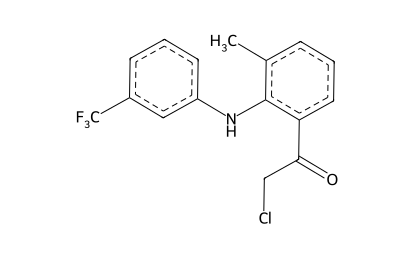 Cc1cccc(C(=O)CCl)c1Nc1cccc(C(F)(F)F)c1